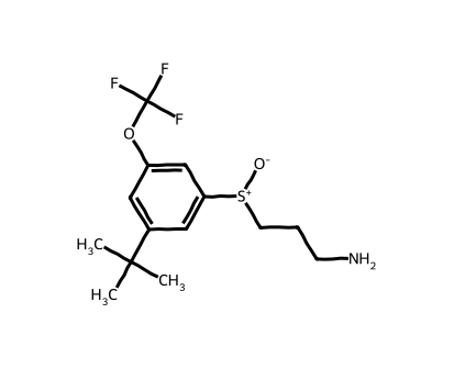 CC(C)(C)c1cc(OC(F)(F)F)cc([S+]([O-])CCCN)c1